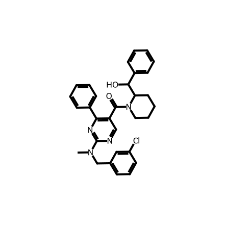 CN(Cc1cccc(Cl)c1)c1ncc(C(=O)N2CCCCC2C(O)c2ccccc2)c(-c2ccccc2)n1